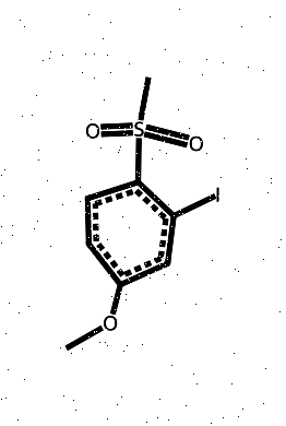 COc1ccc(S(C)(=O)=O)c(I)c1